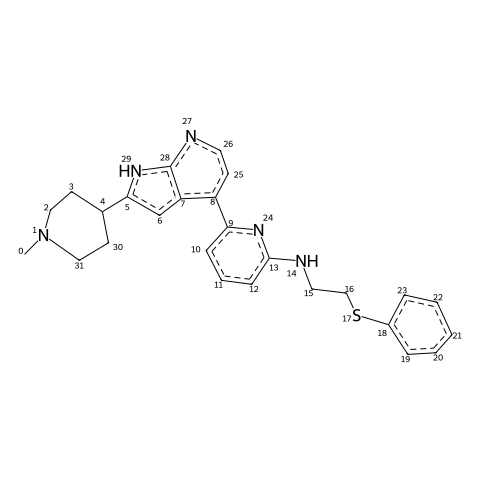 CN1CCC(c2cc3c(-c4cccc(NCCSc5ccccc5)n4)ccnc3[nH]2)CC1